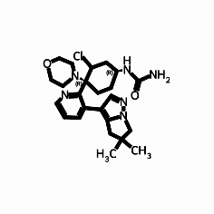 CC1(C)Cc2c(-c3cccnc3[C@]3(N4CCOCC4)CC[C@@H](NC(N)=O)CC3Cl)cnn2C1